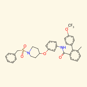 Cc1cccc(C(=O)Nc2cccc(OC3CCN(S(=O)(=O)Cc4ccccc4)CC3)c2)c1-c1ccc(OC(F)(F)F)cc1